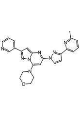 Cc1cccc(-c2ccn(-c3cc(N4CCOCC4)n4nc(-c5cccnc5)cc4n3)n2)n1